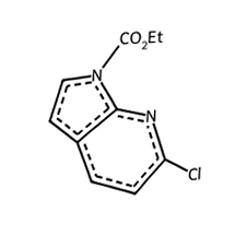 CCOC(=O)n1ccc2ccc(Cl)nc21